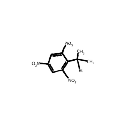 CCC(C)(C)c1c([N+](=O)[O-])cc([N+](=O)[O-])cc1[N+](=O)[O-]